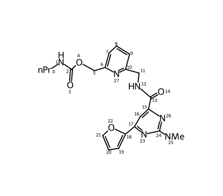 CCCNC(=O)OCc1cccc(CNC(=O)c2cc(-c3ccco3)nc(NC)n2)n1